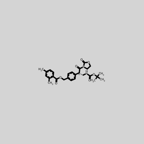 Cc1ccc(C(=O)OCc2ccc([C@@H](CNC(=O)OC(C)(C)C)C(=O)N3CCOC3=O)cc2)c(C)c1